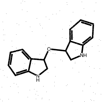 c1ccc2c(c1)NCC2OC1CNc2ccccc21